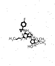 CCCSc1nc(NC2(c3ccc(F)cc3)CC2)c2nnn([C@@H]3C[C@H](O)[C@H]4OC(C)(C)O[C@H]43)c2n1